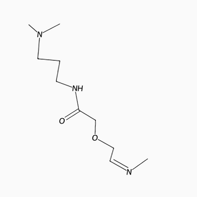 C/N=C\COCC(=O)NCCCN(C)C